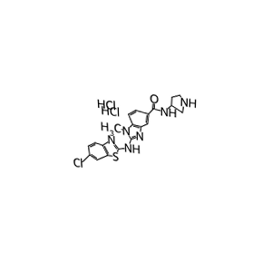 Cl.Cl.Cn1c(Nc2nc3ccc(Cl)cc3s2)nc2cc(C(=O)NC3CCNC3)ccc21